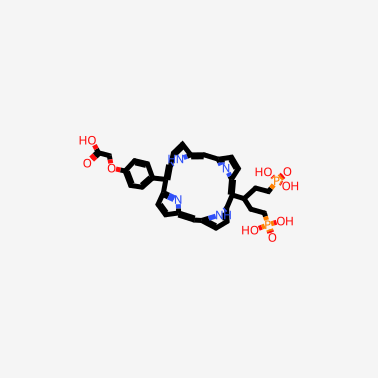 O=C(O)COc1ccc(-c2c3nc(cc4ccc([nH]4)c(C(CCP(=O)(O)O)CCP(=O)(O)O)c4nc(cc5ccc2[nH]5)C=C4)C=C3)cc1